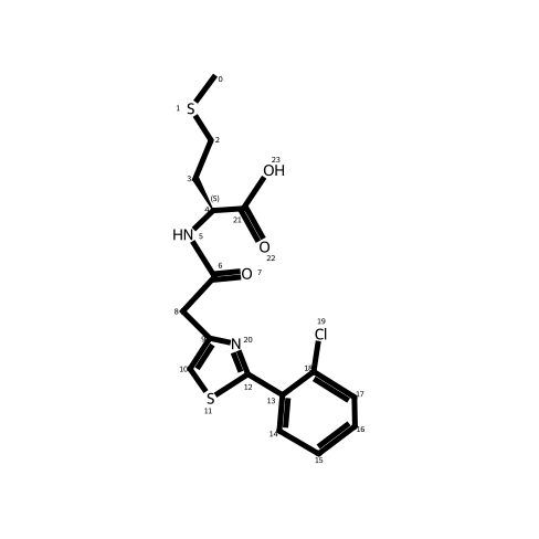 CSCC[C@H](NC(=O)Cc1csc(-c2ccccc2Cl)n1)C(=O)O